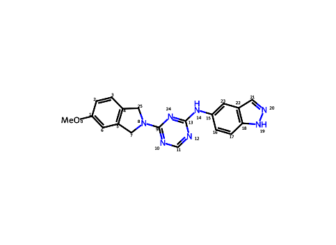 COc1ccc2c(c1)CN(c1ncnc(Nc3ccc4[nH]ncc4c3)n1)C2